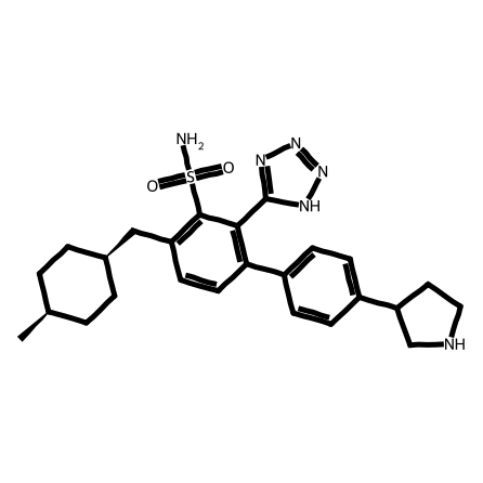 C[C@H]1CC[C@@H](Cc2ccc(-c3ccc(C4CCNC4)cc3)c(-c3nnn[nH]3)c2S(N)(=O)=O)CC1